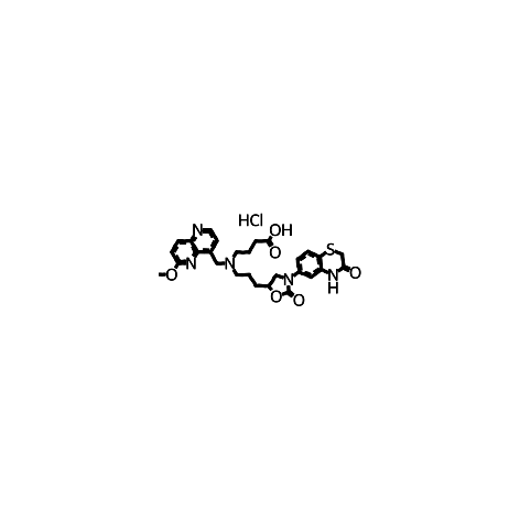 COc1ccc2nccc(CN(CCCC(=O)O)CCCC3CN(c4ccc5c(c4)NC(=O)CS5)C(=O)O3)c2n1.Cl